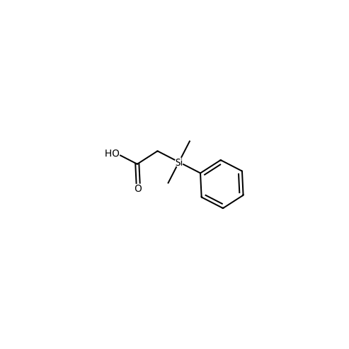 C[Si](C)(CC(=O)O)c1ccccc1